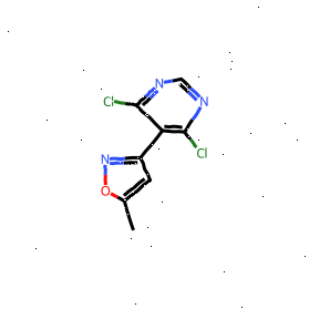 Cc1cc(-c2c(Cl)ncnc2Cl)no1